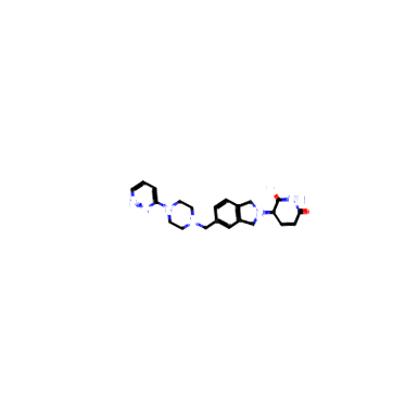 O=C1CCC(N2Cc3ccc(CN4CCN(c5cccnn5)CC4)cc3C2)C(=O)N1